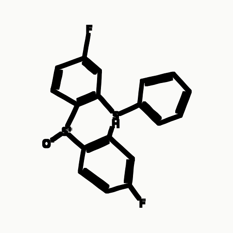 [O-][S+]1c2ccc(F)cc2[SH](c2ccccc2)c2cc(F)ccc21